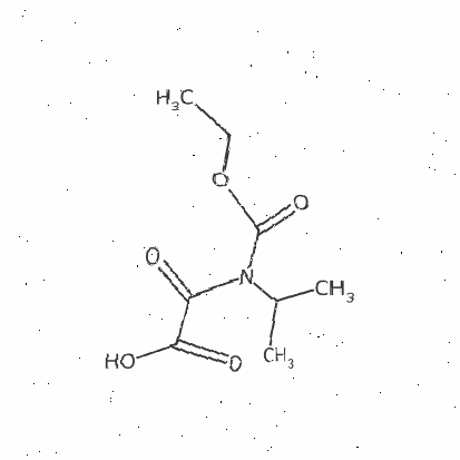 CCOC(=O)N(C(=O)C(=O)O)C(C)C